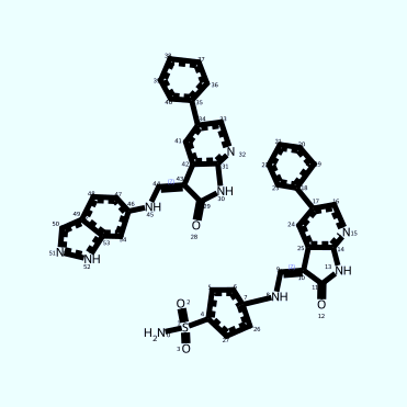 NS(=O)(=O)c1ccc(N/C=C2\C(=O)Nc3ncc(-c4ccccc4)cc32)cc1.O=C1Nc2ncc(-c3ccccc3)cc2/C1=C/Nc1ccc2cn[nH]c2c1